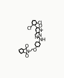 Cn1c(=O)c(-c2c(Cl)cccc2Cl)cc2cnc(Nc3ccc(OCCN4C(=O)c5ccccc5C4=O)cc3)nc21